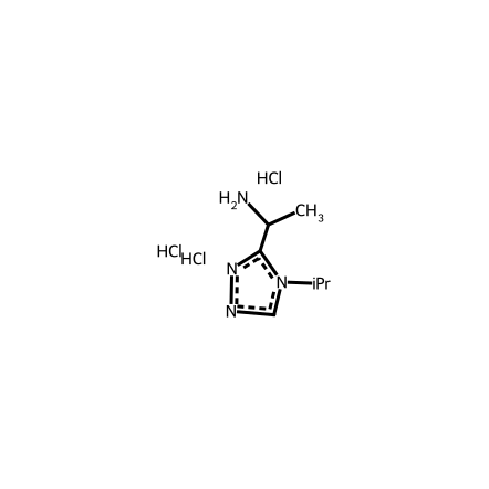 CC(N)c1nncn1C(C)C.Cl.Cl.Cl